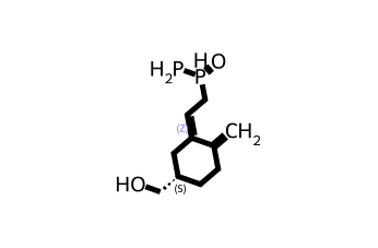 C=C1CC[C@H](CO)C/C1=C/C[PH](=O)P